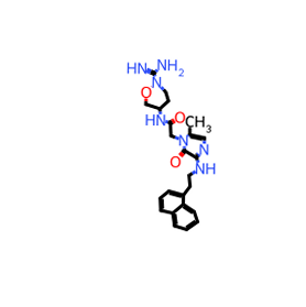 Cc1cnc(NCCc2cccc3ccccc23)c(=O)n1CC(=O)NC1CCN(C(=N)N)OC1